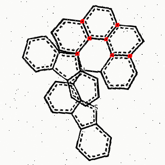 c1ccc(-c2ccccc2N(c2ccccc2-c2ccccc2-n2c3ccccc3c3ccccc32)c2cccc3c2sc2ccccc23)cc1